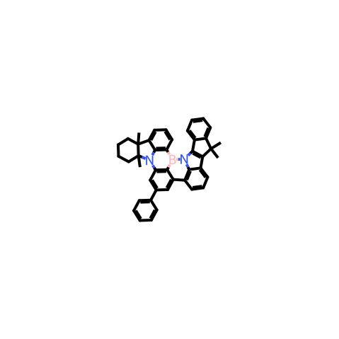 CC1(C)c2ccccc2-c2c1c1cccc3c1n2B1c2cccc4c2N(c2cc(-c5ccccc5)cc-3c21)C1(C)CCCCC41C